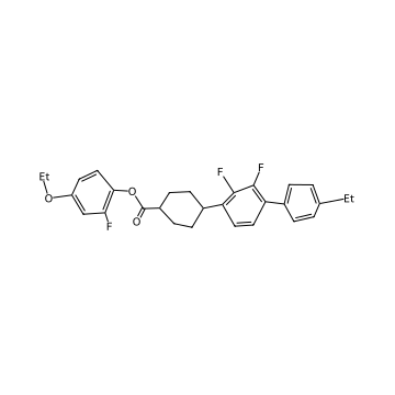 CCOc1ccc(OC(=O)C2CCC(c3ccc(-c4ccc(CC)cc4)c(F)c3F)CC2)c(F)c1